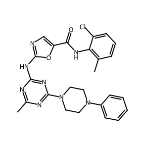 Cc1nc(Nc2ncc(C(=O)Nc3c(C)cccc3Cl)o2)nc(N2CCN(c3ccccc3)CC2)n1